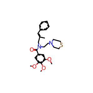 COc1cc(C(=O)N(CCN2CCSCC2)C/C(C)=C/c2ccccc2)cc(OC)c1OC